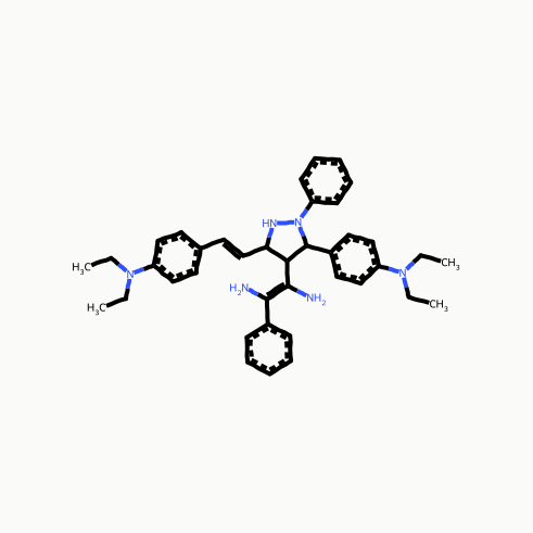 CCN(CC)c1ccc(C=CC2NN(c3ccccc3)C(c3ccc(N(CC)CC)cc3)C2C(N)=C(N)c2ccccc2)cc1